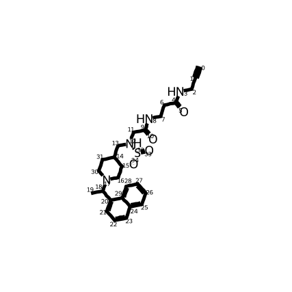 C#CCNC(=O)CCNC(=O)CN(CC1CCN(C(C)c2cccc3ccccc23)CC1)[SH](=O)=O